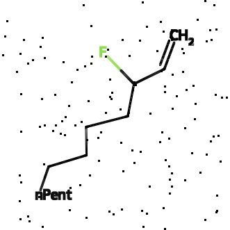 C=CC(F)CCCCCCCCC